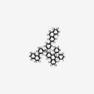 c1ccc(-c2c(-c3ccccc3)c3cc(N(c4ccc(-c5ccc6c(ccc7ccccc76)c5)cc4)c4cccc(-c5cccc6ccccc56)c4)ccc3c3ccccc23)cc1